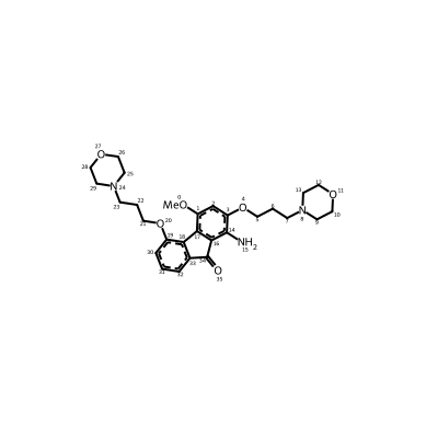 COc1cc(OCCCN2CCOCC2)c(N)c2c1-c1c(OCCCN3CCOCC3)cccc1C2=O